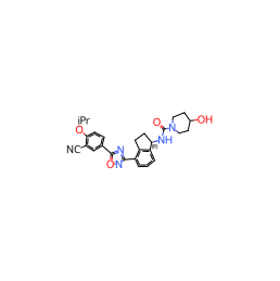 CC(C)Oc1ccc(-c2nc(-c3cccc4c3CC[C@H]4NC(=O)N3CCC(O)CC3)no2)cc1C#N